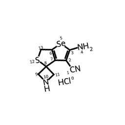 Cl.N#Cc1c(N)[se]c2c1C1(CNC1)SC2